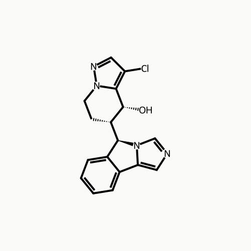 O[C@H]1c2c(Cl)cnn2CC[C@H]1[C@@H]1c2ccccc2-c2cncn21